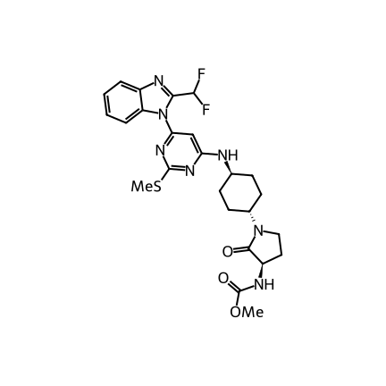 COC(=O)N[C@@H]1CCN([C@H]2CC[C@H](Nc3cc(-n4c(C(F)F)nc5ccccc54)nc(SC)n3)CC2)C1=O